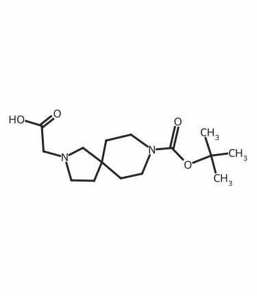 CC(C)(C)OC(=O)N1CCC2(CCN(CC(=O)O)C2)CC1